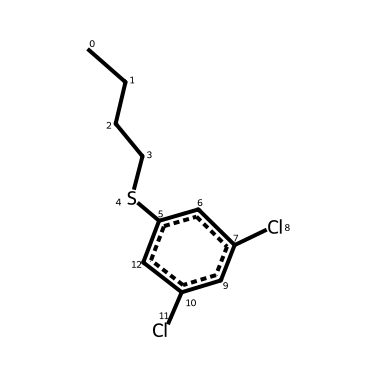 CCCCSc1cc(Cl)cc(Cl)c1